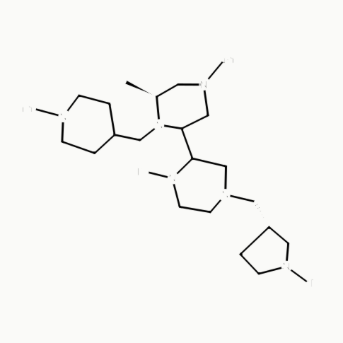 CC(C)N1CCC(CN2C(C3CN(C[C@H]4CCN(C(C)C)C4)CCN3C(C)C)CN(C(C)C)C[C@@H]2C)CC1